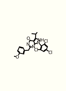 COc1cccc(Cc2nc3n(-c4c(Cl)cc(Cl)cc4Cl)[nH]c(C(C)C)c-3c(=O)n2)c1